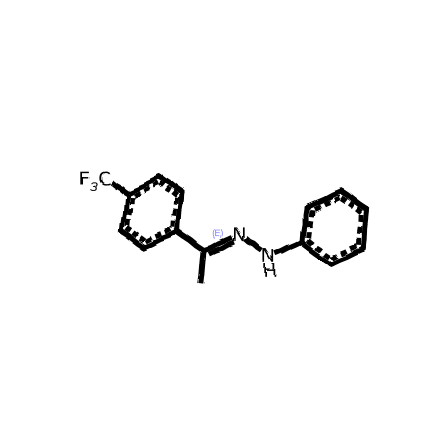 C/C(=N\Nc1ccccc1)c1ccc(C(F)(F)F)cc1